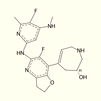 CNc1cc(Nc2nc3c(c(C4=CCNC[C@H](O)C4)c2F)OCC3)nc(C)c1F